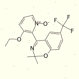 CCOc1ccc[n+]([O-])c1C1=NC(C)(C)Oc2ccc(C(F)(F)F)cc21